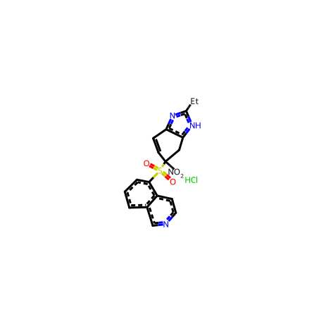 CCc1nc2c([nH]1)CC([N+](=O)[O-])(S(=O)(=O)c1cccc3cnccc13)C=C2.Cl